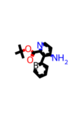 CC(C)(C)OC(=O)c1nccc(N)c1-c1bcccc1